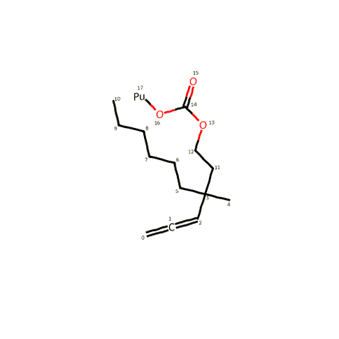 C=C=CC(C)(CCCCCC)CCOC(=O)[O][Pu]